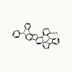 Nc1cccc(C2CC=Cc3c2sc2c3ccc3c2c2ccccc2n3-c2ccccc2)c1-n1c2ccccc2c2ccccc21